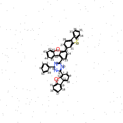 c1ccc(-c2nc(-c3cccc4c3oc3ccccc34)nc(-c3ccc(-c4ccc5c(c4)sc4ccccc45)c4oc5ccccc5c34)n2)cc1